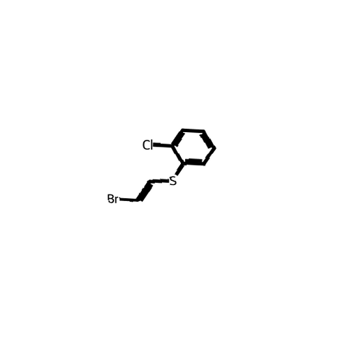 Clc1ccccc1SC=CBr